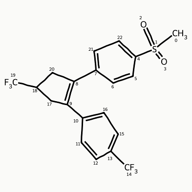 CS(=O)(=O)c1ccc(C2=C(c3ccc(C(F)(F)F)cc3)CC(C(F)(F)F)C2)cc1